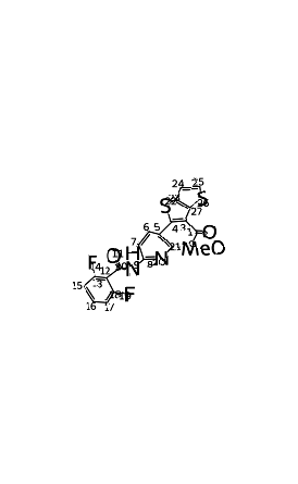 COC(=O)c1c(-c2ccc(NC(=O)c3c(F)cccc3F)nc2)sc2ccsc12